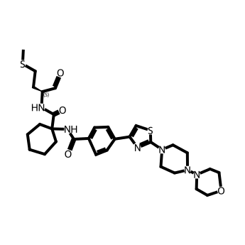 CSCC[C@@H](C=O)NC(=O)C1(NC(=O)c2ccc(-c3csc(N4CCN(N5CCOCC5)CC4)n3)cc2)CCCCC1